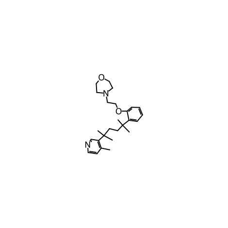 Cc1ccncc1C(C)(C)CCC(C)(C)c1ccccc1OCCN1CCOCC1